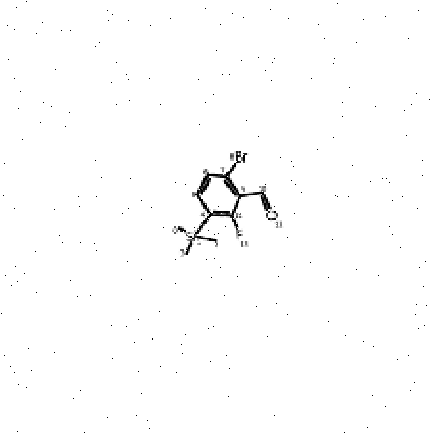 C[Si](C)(C)c1ccc(Br)c(C=O)c1F